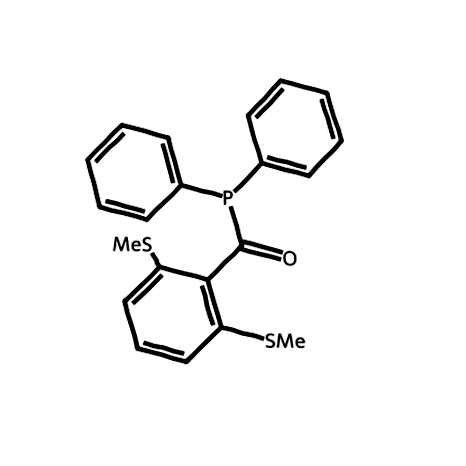 CSc1cccc(SC)c1C(=O)P(c1ccccc1)c1ccccc1